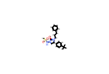 CC(C)(C)c1ccc([C@@H]2CN(NS(C)(=O)=O)C(=O)N2CCCc2ccccc2)cc1